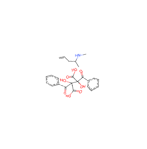 C=CCC(C)NC.O=C(O)C(O)(C(=O)c1ccccc1)C(O)(C(=O)O)C(=O)c1ccccc1